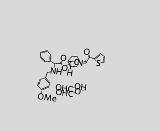 COc1ccc(CNC(C(=O)O[C@H]2C[N+]3(CC(=O)c4cccs4)CCC2CC3)c2ccccc2)cc1.O=CO.O=C[O-]